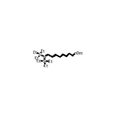 CCCCCCCCCCCCCCCCCCN([Si](CC)(CC)CC)[Si](CC)(CC)CC